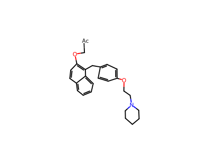 CC(=O)COc1ccc2ccccc2c1Cc1ccc(OCCN2CCCCC2)cc1